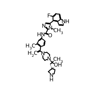 C=C(c1ccc(NC(=O)c2ncc(-c3c(F)ccc4[nH]ccc34)n2C)cc1C)N1CCN(C(C)(O)C[C@@H]2CCNC2)CC1